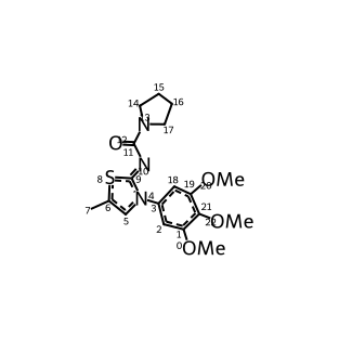 COc1cc(-n2cc(C)sc2=NC(=O)N2CCCC2)cc(OC)c1OC